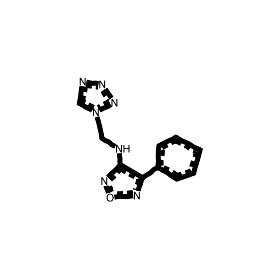 c1ccc(-c2nonc2NCn2cnnn2)cc1